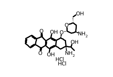 CC(O)[C@]1(N)Cc2c(O)c3c(c(O)c2[C@@H](O[C@H]2C[C@H](N)C[C@@H](CO)O2)C1)C(=O)c1ccccc1C3=O.Cl.Cl